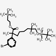 CC(C)(CCCCC(C)(C(=O)OCC[Si](C)(C)C)c1cccc(Br)c1)CO[Si](C)(C)C(C)(C)C